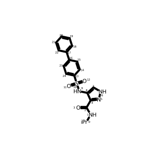 CC(C)NC(=O)c1n[nH]cc1NS(=O)(=O)c1ccc(-c2ccccc2)cc1